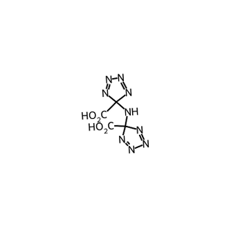 O=C(O)C1(NC2(C(=O)O)N=NN=N2)N=NN=N1